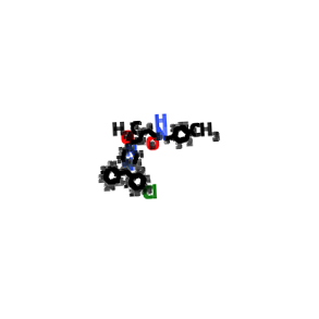 Cc1ccc(CNC(=O)CC(C)CC(=O)N2CCN(C(c3ccccc3)c3ccc(Cl)cc3)CC2)cc1